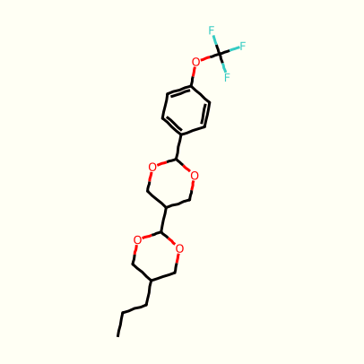 CCCC1COC(C2COC(c3ccc(OC(F)(F)F)cc3)OC2)OC1